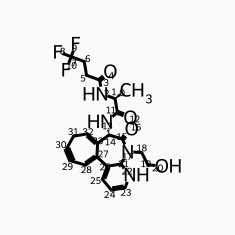 C[C@H](NC(=O)CCC(F)(F)F)C(=O)N[C@@H]1C(=O)N(CCO)C2NC=CC=C2C2=CC#CCC=C21